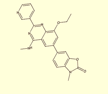 CCOc1cc(-c2ccc3c(c2)oc(=O)n3C)cc2c(NC)nc(-c3cccnc3)nc12